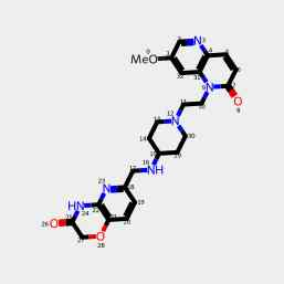 COc1cnc2ccc(=O)n(CCN3CCC(NCc4ccc5c(n4)NC(=O)CO5)CC3)c2c1